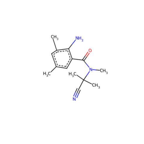 Cc1cc(C)c(N)c(C(=O)N(C)C(C)(C)C#N)c1